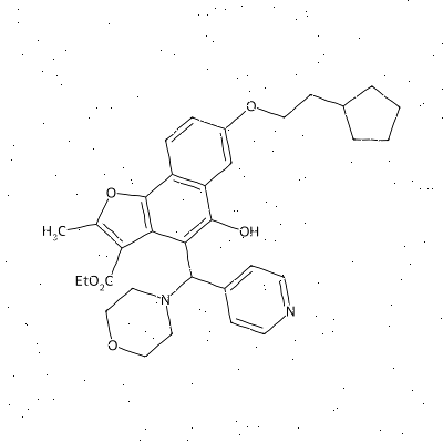 CCOC(=O)c1c(C)oc2c1c(C(c1ccncc1)N1CCOCC1)c(O)c1cc(OCCC3CCCC3)ccc12